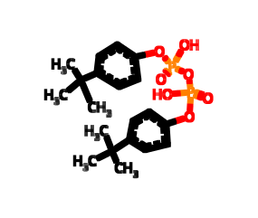 CC(C)(C)c1ccc(OP(=O)(O)OP(=O)(O)Oc2ccc(C(C)(C)C)cc2)cc1